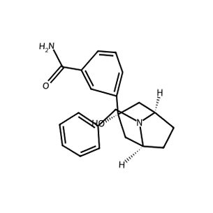 NC(=O)c1cccc([C@@]2(O)C[C@H]3CC[C@@H](C2)N3Cc2ccccc2)c1